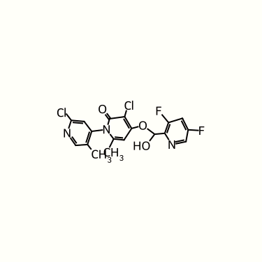 Cc1cnc(Cl)cc1-n1c(C)cc(OC(O)c2ncc(F)cc2F)c(Cl)c1=O